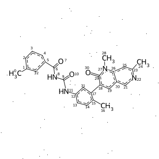 Cc1cccc(C(=O)NC(=O)Nc2ccc(C)c(-c3cc4cnc(C)cc4n(C)c3=O)c2)c1